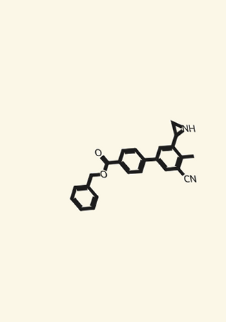 Cc1c(C#N)cc(-c2ccc(C(=O)OCc3ccccc3)cc2)cc1C1CN1